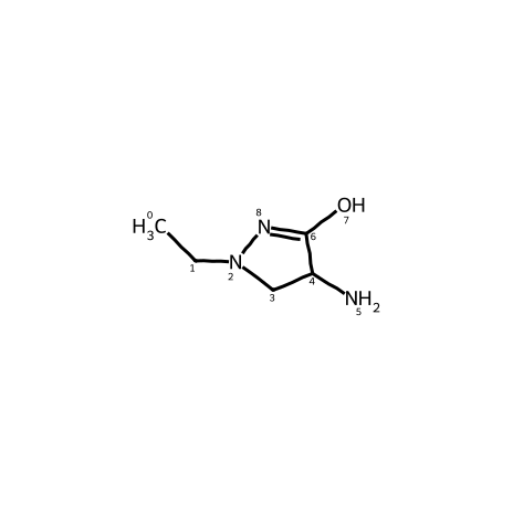 CCN1CC(N)C(O)=N1